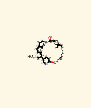 Cc1cc2ccc1CCCCCOc1ccc(cn1)C(CC(=O)O)c1ccc3c(c1)CN(CC3)C2=O